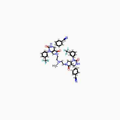 CN(CCN1CC2=C(C1=O)[C@@H](c1ccc(C#N)cc1)NC(=O)N2c1cccc(C(F)(F)F)c1)CCN1CC2=C(C1=O)[C@@H](c1ccc(C#N)cc1)NC(=O)N2c1cccc(C(F)(F)F)c1